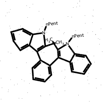 CCCCCn1c(C)c(-c2ccccc2-c2c(C)n(CCCCC)c3ccccc23)c2ccccc21